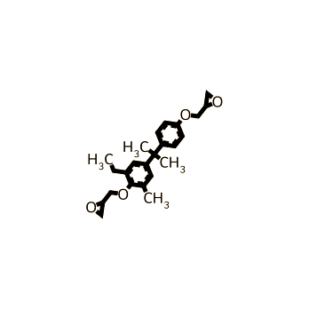 CCc1cc(C(C)(C)c2ccc(OCC3CO3)cc2)cc(C)c1OCC1CO1